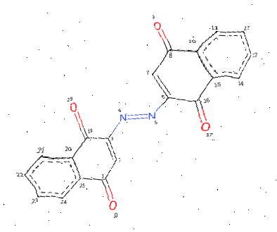 O=C1C=C(N=NC2=CC(=O)c3ccccc3C2=O)C(=O)c2ccccc21